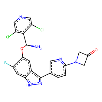 N[C@@H](Oc1cc2c(-c3ccc(N4CC(=O)C4)nc3)n[nH]c2cc1F)c1c(Cl)cncc1Cl